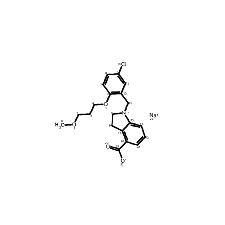 COCCCOc1ccc(Cl)cc1CN1CCc2c(C(=O)[O-])cccc21.[Na+]